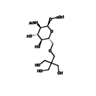 CCCCCCCCO[C@H]1O[C@H](COCC(CO)(CO)CO)[C@@H](O)[C@H](O)[C@H]1NC(C)=O